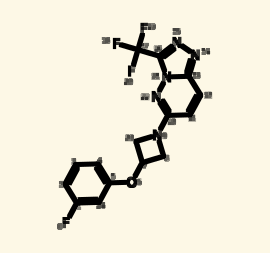 Fc1cccc(OC2CN(c3ccc4nnc(C(F)(F)F)n4n3)C2)c1